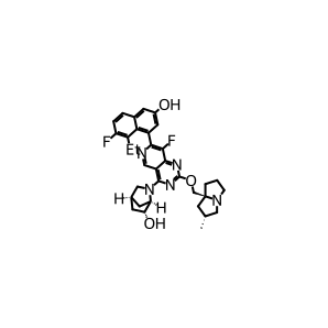 CCc1c(F)ccc2cc(O)cc(-c3ncc4c(N5C[C@@H]6C[C@@H](O)[C@H]5C6)nc(OC[C@@]56CCCN5C[C@H](C)C6)nc4c3F)c12